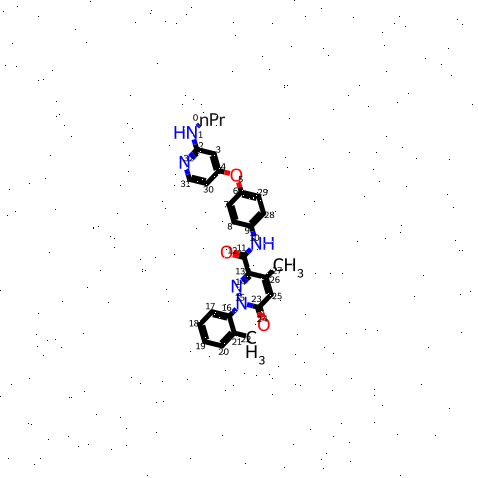 CCCNc1cc(Oc2ccc(NC(=O)c3nn(-c4ccccc4C)c(=O)cc3C)cc2)ccn1